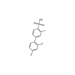 Cc1cc(-c2ccc(F)cc2F)ccc1S(=O)(=O)O